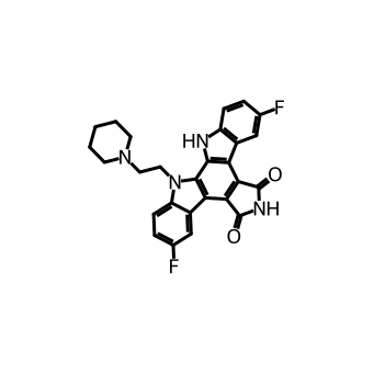 O=C1NC(=O)c2c1c1c3cc(F)ccc3[nH]c1c1c2c2cc(F)ccc2n1CCN1CCCCC1